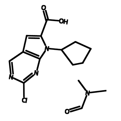 CN(C)C=O.O=C(O)c1cc2cnc(Cl)nc2n1C1CCCC1